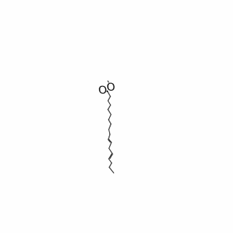 CCC/C=C/C/C=C/CCCCCCCCCC(=O)OC